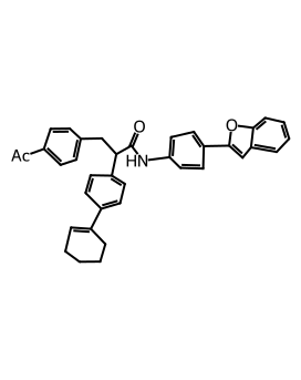 CC(=O)c1ccc(CC(C(=O)Nc2ccc(-c3cc4ccccc4o3)cc2)c2ccc(C3=CCCCC3)cc2)cc1